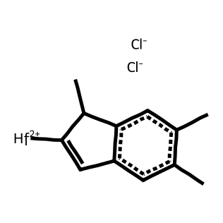 Cc1cc2c(cc1C)C(C)[C]([Hf+2])=C2.[Cl-].[Cl-]